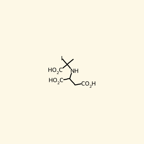 CC(I)(NC(CC(=O)O)C(=O)O)C(=O)O